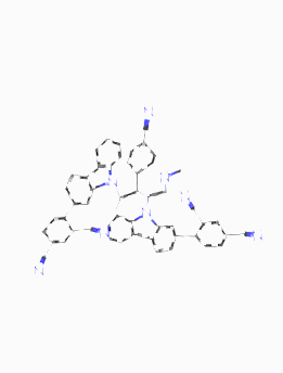 C=N/C=C(\C(=C(/C)n1c2ccccc2c2ccc(-c3ccc(C#N)cc3C#N)cc21)c1ccc(C#N)cc1)n1c2ccccc2c2ccc(-c3ccc(C#N)cc3C#N)cc21